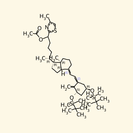 C=C1/C(=C\C=C2/CCC[C@]3(C)[C@@H]([C@H](C)CCCC(OC(C)=O)c4nc(C)cs4)CC[C@@H]23)C[C@@H](O[Si](C)(C)C(C)(C)C)C[C@@H]1O[Si](C)(C)C(C)(C)C